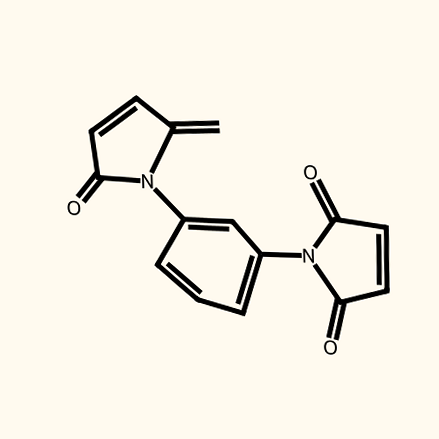 C=C1C=CC(=O)N1c1cccc(N2C(=O)C=CC2=O)c1